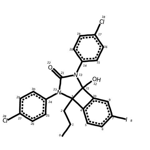 CCCC12c3ccc(I)cc3C1(O)N(c1ccc(Cl)cc1)C(=O)N2c1ccc(Cl)cc1